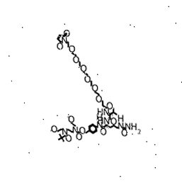 COCCN(CCN(CCOC)C(=O)C(C)(C)C)C(=O)OCc1ccc(NC(=O)[C@H](CCCNC(N)=O)NC(=O)[C@@H](NC(=O)CCOCCOCCOCCOCCOCCOCCN2C(=O)C=CC2=O)C(C)C)cc1